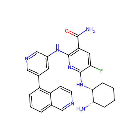 NC(=O)c1cc(F)c(N[C@@H]2CCCC[C@@H]2N)nc1Nc1cncc(-c2cccc3cnccc23)c1